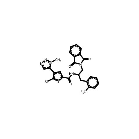 Cn1nncc1-c1cc(C(=O)NC(Cc2ccccc2C(F)(F)F)CN2C(=O)c3ccccc3C2=O)sc1Cl